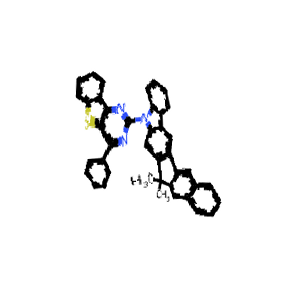 CC1(C)c2cc3ccccc3cc2-c2cc3c4ccccc4n(-c4nc(-c5ccccc5)c5sc6ccccc6c5n4)c3cc21